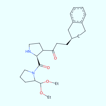 CCOC(OCC)C1CCCN1C(=O)[C@H]1NCCC1C(=O)CC[C@@H]1CCc2ccccc2C1